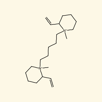 C=CC1CCCC[N+]1(C)CCCCC[N+]1(C)CCCCC1C=C